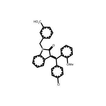 COc1ccccc1/C(=C1\C(=O)N(Cc2cccc(C(=O)O)c2)c2ccccc21)c1ccc(Cl)cc1